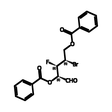 O=C[C@H](OC(=O)c1ccccc1)[C@H](F)[C@@H](Br)COC(=O)c1ccccc1